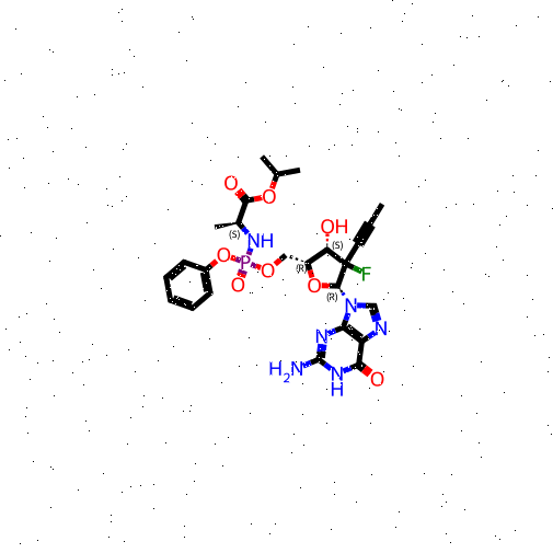 CC#CC1(F)[C@@H](O)[C@@H](COP(=O)(N[C@@H](C)C(=O)OC(C)C)Oc2ccccc2)O[C@H]1n1cnc2c(=O)[nH]c(N)nc21